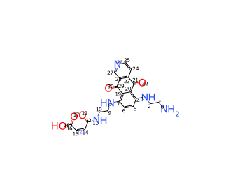 NCCNc1ccc(NCCNC(=O)/C=C\C(=O)O)c2c1C(=O)c1ccncc1C2=O